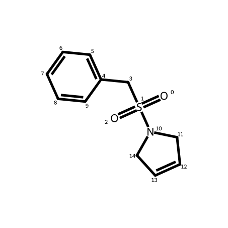 O=S(=O)(Cc1ccccc1)N1CC=CC1